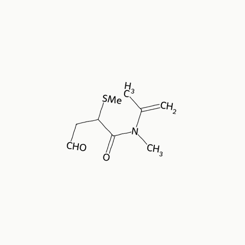 C=C(C)N(C)C(=O)C(CC=O)SC